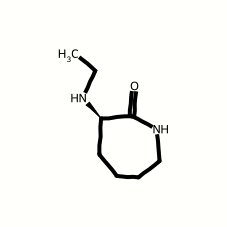 CCN[C@@H]1CCCCNC1=O